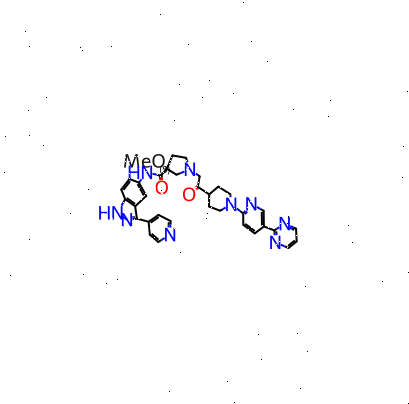 CO[C@@]1(C(=O)Nc2ccc3[nH]nc(-c4ccncc4)c3c2)CCN(CC(=O)C2CCN(c3ccc(-c4ncccn4)cn3)CC2)C1